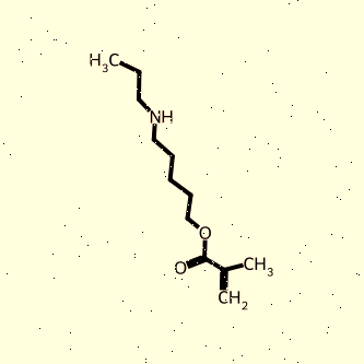 C=C(C)C(=O)OCCCCCNCCC